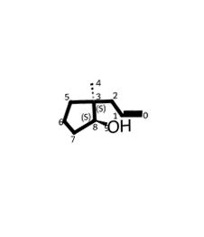 C=CC[C@]1(C)CCC[C@@H]1O